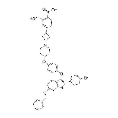 O=C(O)c1ccc(N2CC(N3CCC(Oc4ccc(Oc5c(-c6ccc(Br)cc6)sc6cc(OCc7ccccc7)ccc56)cc4)CC3)C2)cc1CO